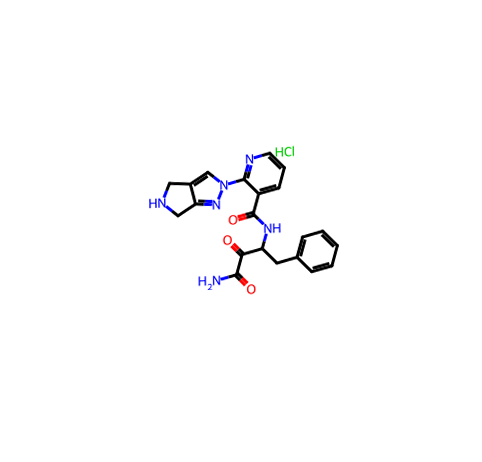 Cl.NC(=O)C(=O)C(Cc1ccccc1)NC(=O)c1cccnc1-n1cc2c(n1)CNC2